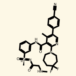 CNCC(=O)N=[S@](C)(=O)c1cccc(NC(=O)c2c(N3CCCC(F)(F)CC3)ncc(-c3ccc(C#N)cc3)c2C)c1